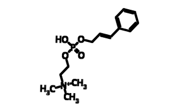 C[N+](C)(C)CCOP(=O)(O)OC/C=C/c1ccccc1